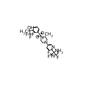 C[C@@H]1CN(c2ccc(C(N)(C(F)(F)F)C(F)(F)F)nc2)CCN1S(=O)(=O)c1cccc(C(C)(O)C(F)(F)F)c1